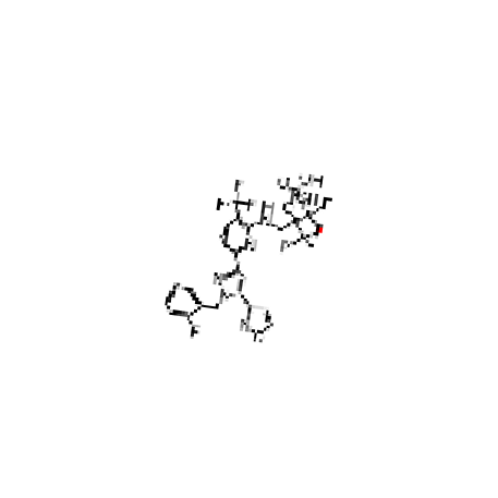 O=P(O)(O)OC(CNc1nc(-c2cc(-c3ccon3)n(Cc3ccccc3F)n2)ncc1C(F)(F)F)(C(F)(F)F)C(F)(F)F